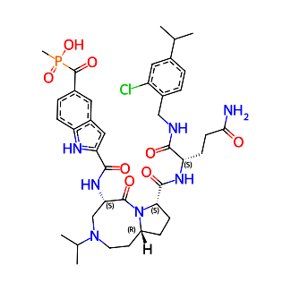 CC(C)c1ccc(CNC(=O)[C@H](CCC(N)=O)NC(=O)[C@@H]2CC[C@@H]3CCN(C(C)C)C[C@H](NC(=O)c4cc5cc(C(=O)P(C)(=O)O)ccc5[nH]4)C(=O)N32)c(Cl)c1